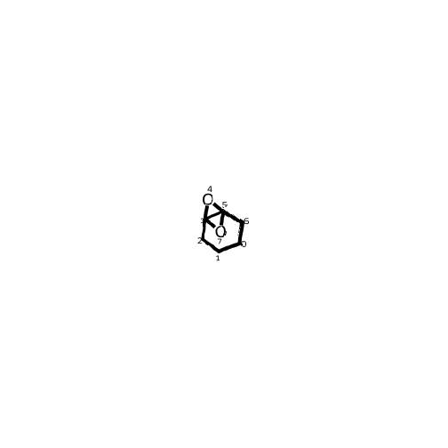 C1CCC23OC2(C1)O3